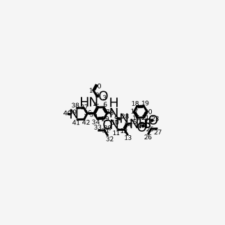 C=CC(=O)Nc1cc(Nc2ncc(C)c(Nc3ccccc3S(=O)(=O)C(C)C)n2)c(OC(C)C)cc1C1CCN(C)CC1